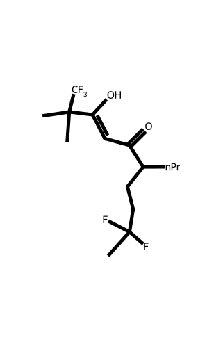 CCCC(CCC(C)(F)F)C(=O)/C=C(\O)C(C)(C)C(F)(F)F